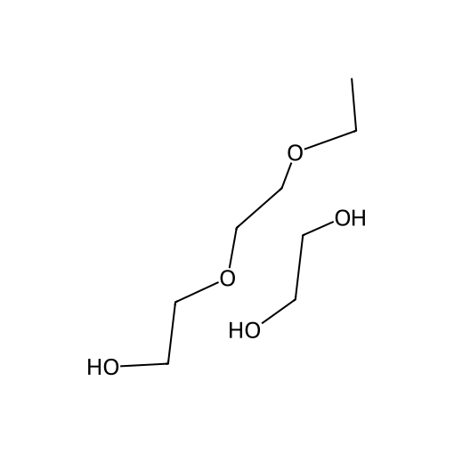 CCOCCOCCO.OCCO